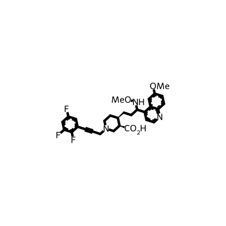 CONC(CC[C@@H]1CCN(CC#Cc2cc(F)cc(F)c2F)C[C@@H]1C(=O)O)c1ccnc2ccc(OC)cc12